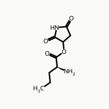 CCC[C@H](N)C(=O)OC1CC(=O)NC1=O